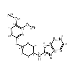 CCOc1cc(CN2CCC(Nc3nc4ccncc4o3)CC2)ccc1OC(C)C